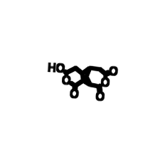 O=C1CC2CC(C(=O)O1)C1C(=O)OC(O)CC21